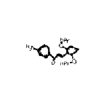 CCCOc1cccc(OCCC)c1C=CC(=O)c1ccc(N)cc1